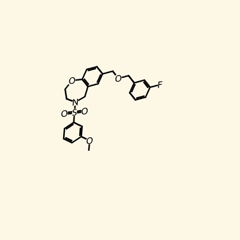 COc1cccc(S(=O)(=O)N2CCOc3ccc(COCc4cccc(F)c4)cc3C2)c1